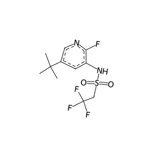 CC(C)(C)c1cnc(F)c(NS(=O)(=O)CC(F)(F)F)c1